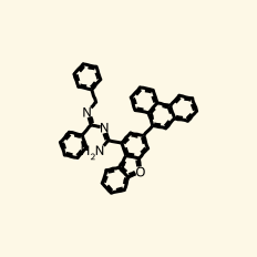 N/C(=N\C(=N/Cc1ccccc1)c1ccccc1)c1cc(-c2cc3ccccc3c3ccccc23)cc2oc3ccccc3c12